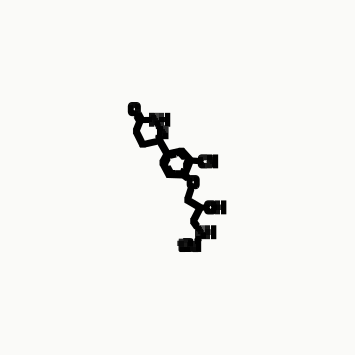 CC(C)(C)NCC(O)COc1ccc(C2=NNC(=O)CC2)cc1C#N